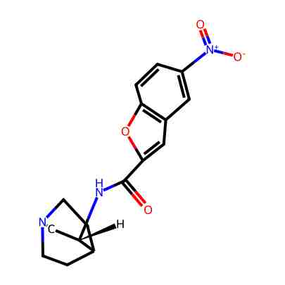 O=C(N[C@H]1CN2CCC1CC2)c1cc2cc([N+](=O)[O-])ccc2o1